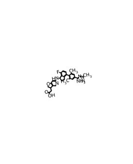 CN/N=C(\N)c1cc(C)c(-c2ccc(F)c3c2CC[C@H]3Nc2cc3c(cn2)C(CC(=O)O)CO3)c(C)c1